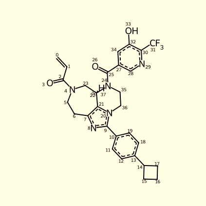 C=CC(=O)N1CCc2nc(-c3ccc(C4CCC4)cc3)n3c2[C@H](C1)N(C(=O)c1cnc(C(F)(F)F)c(O)c1)CC3